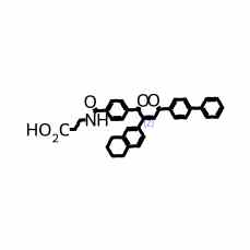 O=C(O)CCNC(=O)c1ccc(C(=O)/C(=C\C(=O)c2ccc(-c3ccccc3)cc2)c2ccc3c(c2)CCCC3)cc1